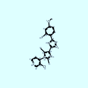 COc1ccc(-c2noc(-c3nc(C)n(-c4ccccc4Cl)c3C)n2)c(F)c1